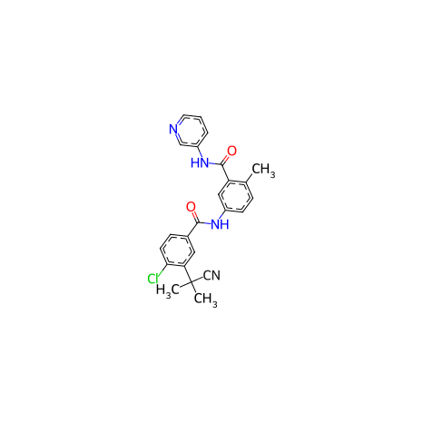 Cc1ccc(NC(=O)c2ccc(Cl)c(C(C)(C)C#N)c2)cc1C(=O)Nc1cccnc1